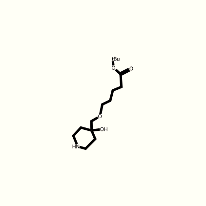 CC(C)(C)OC(=O)CCCCOCC1(O)CCNCC1